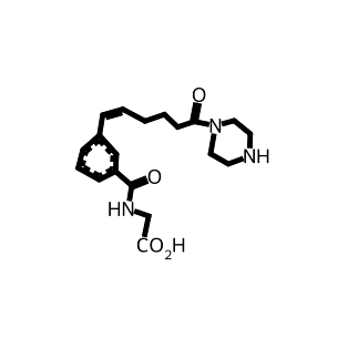 O=C(O)CNC(=O)c1cccc(/C=C\CCCC(=O)N2CCNCC2)c1